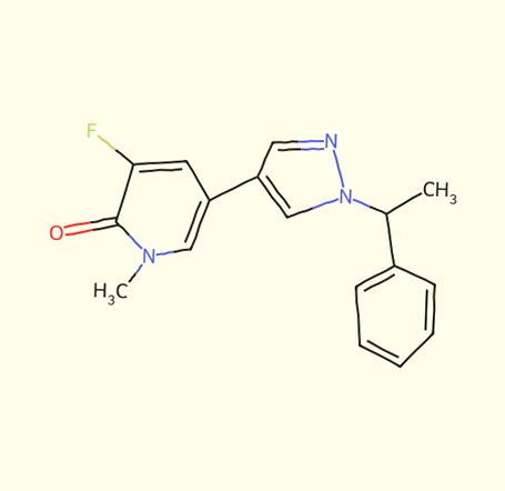 CC(c1ccccc1)n1cc(-c2cc(F)c(=O)n(C)c2)cn1